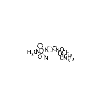 Cn1c(=O)c(C#N)c(N2CCC3(CCN(C(=O)OC(C)(C)C)C3)CC2)c2ccccc21